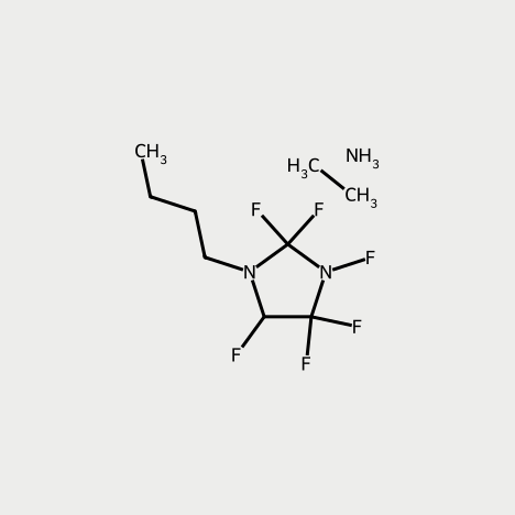 CC.CCCCN1C(F)C(F)(F)N(F)C1(F)F.N